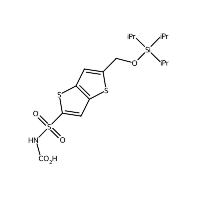 CC(C)[Si](OCc1cc2sc(S(=O)(=O)NC(=O)O)cc2s1)(C(C)C)C(C)C